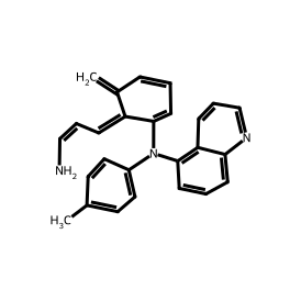 C=c1cccc(N(c2ccc(C)cc2)c2cccc3ncccc23)/c1=C/C=C\N